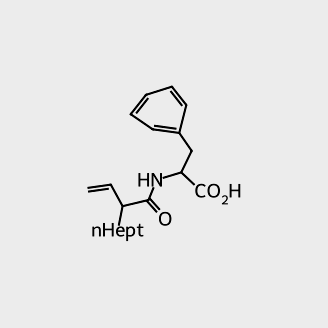 C=CC(CCCCCCC)C(=O)NC(Cc1ccccc1)C(=O)O